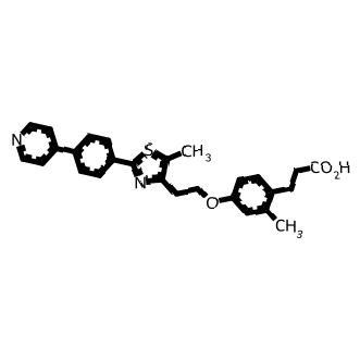 Cc1cc(OCCc2nc(-c3ccc(-c4ccncc4)cc3)sc2C)ccc1CCC(=O)O